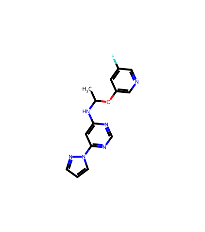 [CH2]C(Nc1cc(-n2cccn2)ncn1)Oc1cncc(F)c1